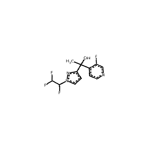 CC(O)(c1ccn(C(F)C(F)F)n1)c1ccncc1F